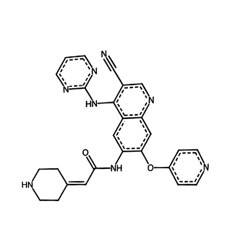 N#Cc1cnc2cc(Oc3ccncc3)c(NC(=O)C=C3CCNCC3)cc2c1Nc1ncccn1